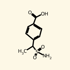 CC(c1ccc(C(=O)O)cc1)S(N)(=O)=O